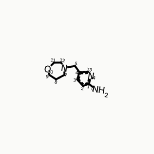 Nc1ccc(CN2CCCOCC2)cn1